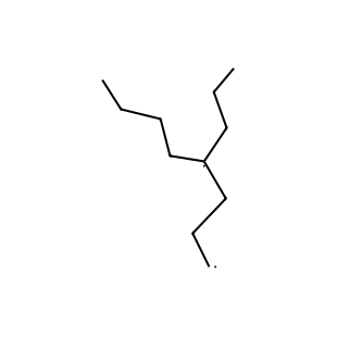 [CH2]CC[C](CCC)CCCC